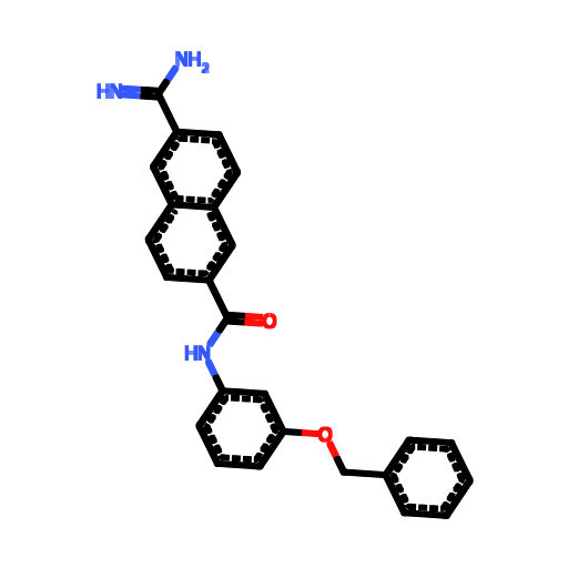 N=C(N)c1ccc2cc(C(=O)Nc3cccc(OCc4ccccc4)c3)ccc2c1